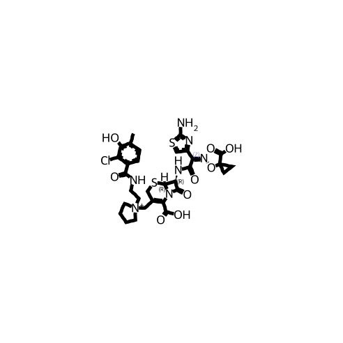 Cc1ccc(C(=O)NCC[N+]2(CC3=C(C(=O)O)N4C(=O)[C@@H](NC(=O)/C(=N\OC5(C(=O)O)CC5)c5csc(N)n5)[C@H]4SC3)CCCC2)c(Cl)c1O